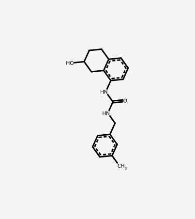 Cc1cccc(CNC(=O)Nc2cccc3c2CC(O)CC3)c1